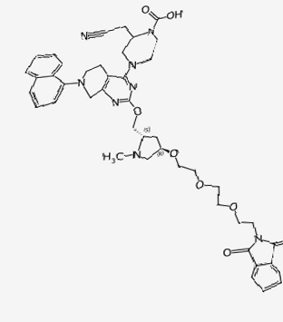 CN1C[C@H](OCCOCCOCCN2C(=O)c3ccccc3C2=O)C[C@H]1COc1nc2c(c(N3CCN(C(=O)O)C(CC#N)C3)n1)CCN(c1cccc3ccccc13)C2